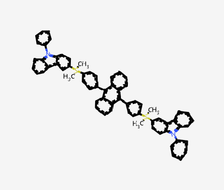 CS(C)(c1ccc(-c2c3ccccc3c(-c3ccc(S(C)(C)c4ccc5c(c4)c4ccccc4n5-c4ccccc4)cc3)c3ccccc23)cc1)c1ccc2c(c1)c1ccccc1n2-c1ccccc1